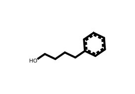 OCCCCc1c[c]ccc1